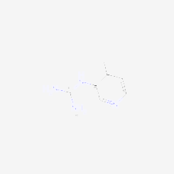 CC1C=CN=CC1NC(N)N